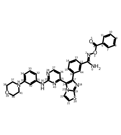 N/C(=N\OC(=O)c1ccccc1)c1cccc(-c2nc3sccn3c2-c2ccnc(Nc3cccc(N4CCOCC4)c3)n2)c1